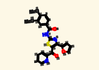 COc1ccc(C(=O)Nc2nc(-c3ccco3)c(C(=O)c3ccccn3)s2)cc1OC